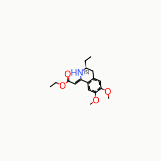 CCOC(=O)C=C1N[C@@H](CC)Cc2cc(OC)c(OC)cc21